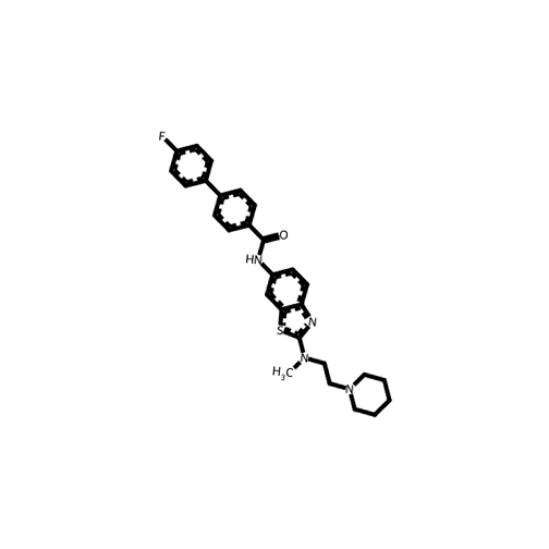 CN(CCN1CCCCC1)c1nc2ccc(NC(=O)c3ccc(-c4ccc(F)cc4)cc3)cc2s1